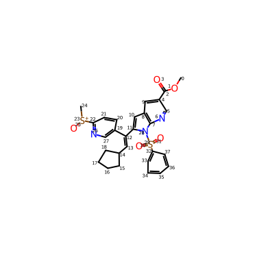 COC(=O)c1cnc2c(c1)cc(/C(=C/C1CCCC1)c1ccc([S+](C)[O-])nc1)n2S(=O)(=O)c1ccccc1